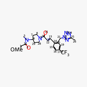 COCC(=O)N(C)C1CCN(C(=O)/C=C/c2ccc(C(F)(F)F)cc2Cn2nnc(C)n2)CC1